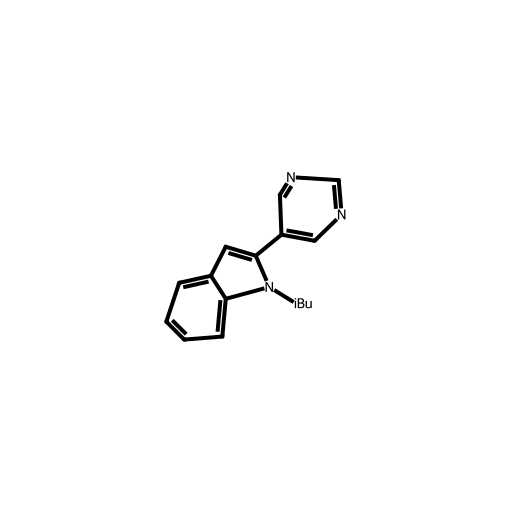 CCC(C)n1c(-c2cncnc2)cc2ccccc21